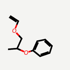 C=COCC(C)Oc1ccccc1